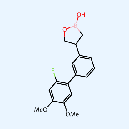 COc1cc(F)c(-c2cccc(C3COB(O)C3)c2)cc1OC